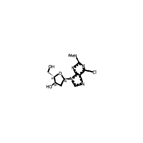 CNc1nc(Cl)c2ncn([C@H]3C[C@@H](O)[C@H](CO)O3)c2n1